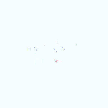 CN1C(=O)N(c2ccc(N)c(C(F)(F)F)c2)C(=O)C1(CO)c1cccc(Cl)c1